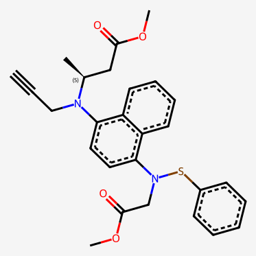 C#CCN(c1ccc(N(CC(=O)OC)Sc2ccccc2)c2ccccc12)[C@@H](C)CC(=O)OC